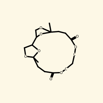 CC12CCC(=O)OCCCOC(=O)CCC3(C)OCC(O3)C(CO1)O2